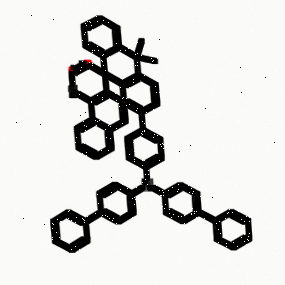 CC1(C)c2ccccc2C2(c3ccccc3Sc3c2ccc2ccccc32)c2cc(-c3ccc(N(c4ccc(-c5ccccc5)cc4)c4ccc(-c5ccccc5)cc4)cc3)ccc21